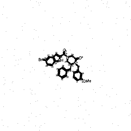 COc1cccc(CN2C(=O)CN(C(=O)c3cc4cc(Br)ccc4[nH]3)C[C@@H]2Cc2ccccc2)c1